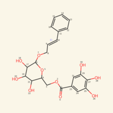 O=C(OCC1OC(OC/C=C/c2ccccc2)C(O)C(O)C1O)c1cc(O)c(O)c(O)c1